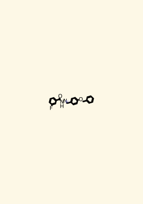 O=C(N/N=C/c1ccc(OCc2ccccc2)cc1)c1cccc(F)c1